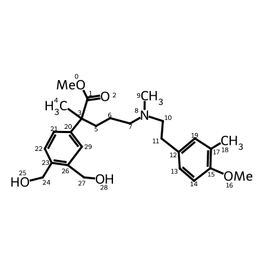 COC(=O)C(C)(CCCN(C)CCc1ccc(OC)c(C)c1)c1ccc(CO)c(CO)c1